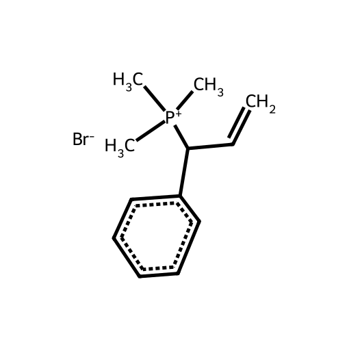 C=CC(c1ccccc1)[P+](C)(C)C.[Br-]